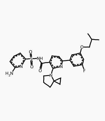 CC(C)COc1cc(F)cc(-c2ccc(C(=O)NS(=O)(=O)c3cccc(N)n3)c(N3CCCC34CC4)n2)c1